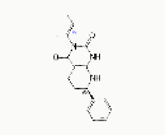 C/C=C(\C)n1c(=O)[nH]c2c(c1=O)CC[C@H](c1ccccc1)N2